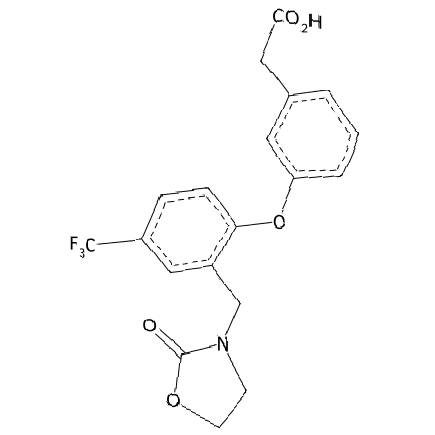 O=C(O)Cc1cccc(Oc2ccc(C(F)(F)F)cc2CN2CCOC2=O)c1